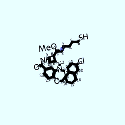 CO[C@@H](/C=C/CCCS)[C@@H]1CC[C@H]1CN1C[C@@]2(CCCc3cc(Cl)ccc32)COc2ccc(C(N)=O)cc21